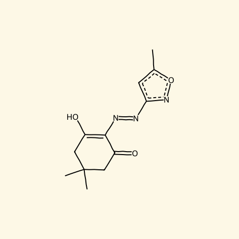 Cc1cc(N=NC2=C(O)CC(C)(C)CC2=O)no1